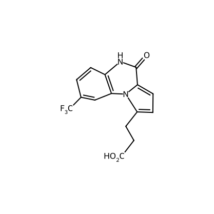 O=C(O)CCc1ccc2c(=O)[nH]c3ccc(C(F)(F)F)cc3n12